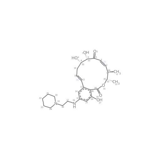 C[C@@H]1/C=C\C(=O)[C@@H](O)[C@@H](O)C/C=C/c2cc(NCCN3CCCCC3)cc(O)c2C(=O)O[C@H]1C